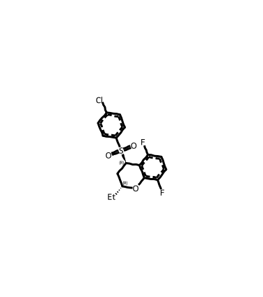 CC[C@@H]1C[C@@H](S(=O)(=O)c2ccc(Cl)cc2)c2c(F)ccc(F)c2O1